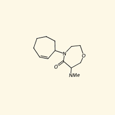 CNC1COCCN(C2C=CCCCC2)C1=O